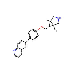 c1cnc2ccc(-c3ccc(OC[C@H]4[C@@H]5CNC[C@@H]54)cc3)cc2c1